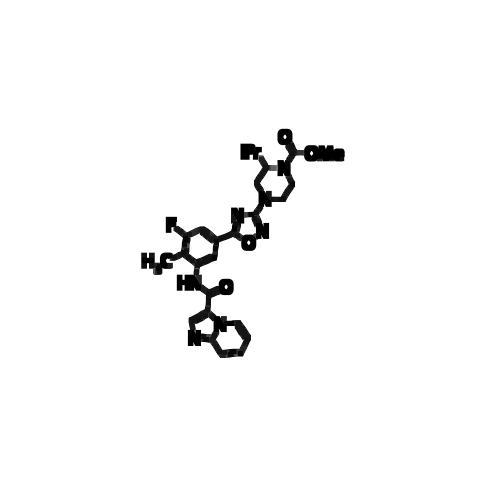 COC(=O)N1CCN(c2noc(-c3cc(F)c(C)c(NC(=O)c4cnc5ccccn45)c3)n2)CC1C(C)C